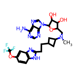 CN(CC1OC(n2cnc3c(N)ncnc32)C(O)C1O)C1CC(CCc2nc3cc(OC(F)(F)F)ccc3[nH]2)C1